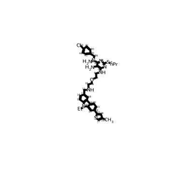 CCCSc1nc(NCCOCCNCc2ccc3c(c2)c2ccc(-c4cc(C)cs4)cc2n3CC)c(N)c(N(N)Cc2ccc(Cl)cc2)n1